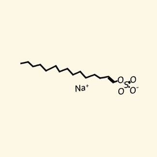 CCCCCCCCCCCCCC=COS(=O)(=O)[O-].[Na+]